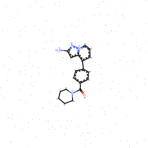 Nc1cc2c(-c3ccc(C(=O)N4CCCCC4)cc3)cccn2n1